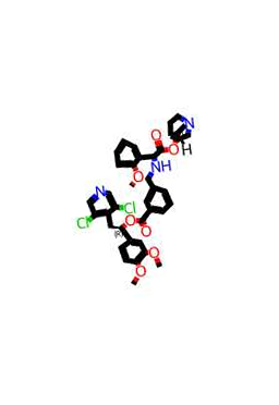 COc1ccc([C@@H](Cc2c(Cl)cncc2Cl)OC(=O)c2cccc(CNC(C(=O)O[C@H]3CN4CCC3CC4)c3ccccc3OC)c2)cc1OC